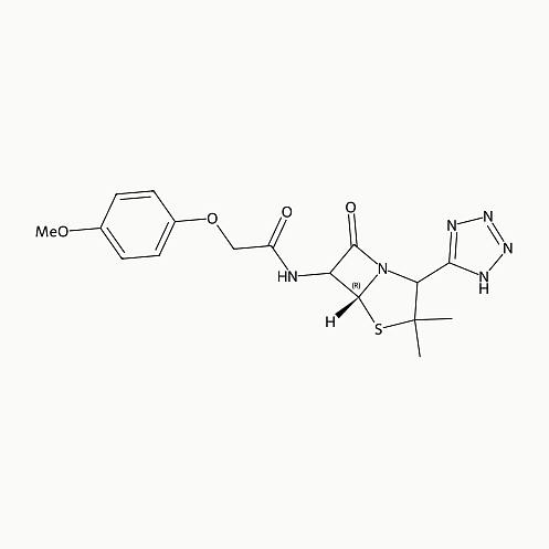 COc1ccc(OCC(=O)NC2C(=O)N3C(c4nnn[nH]4)C(C)(C)S[C@H]23)cc1